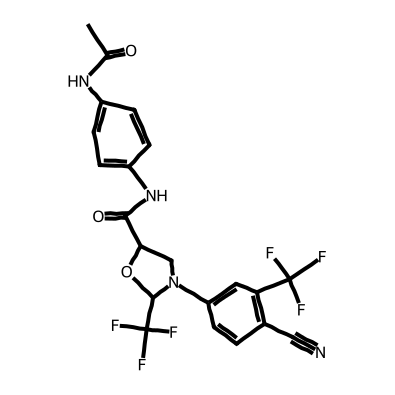 CC(=O)Nc1ccc(NC(=O)C2CN(c3ccc(C#N)c(C(F)(F)F)c3)C(C(F)(F)F)O2)cc1